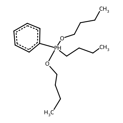 CCCCO[PH](CCCC)(OCCCC)c1ccccc1